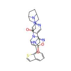 O=C(CN1CC2CCC(C1)N2c1ccc(-c2noc(=O)[nH]2)cn1)N1CC=C(c2cccc3ccsc23)CC1